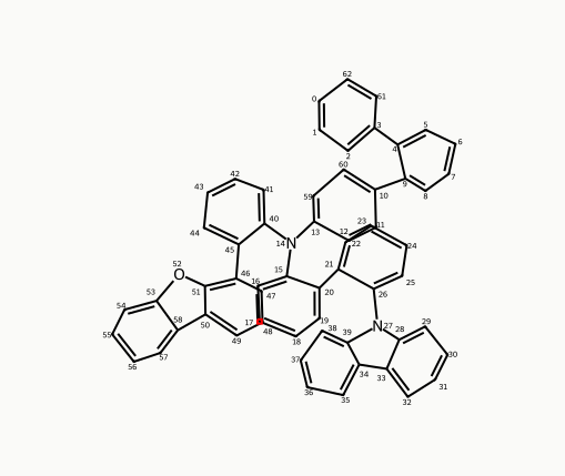 c1ccc(-c2ccccc2-c2ccc(N(c3ccccc3-c3ccccc3-n3c4ccccc4c4ccccc43)c3ccccc3-c3cccc4c3oc3ccccc34)cc2)cc1